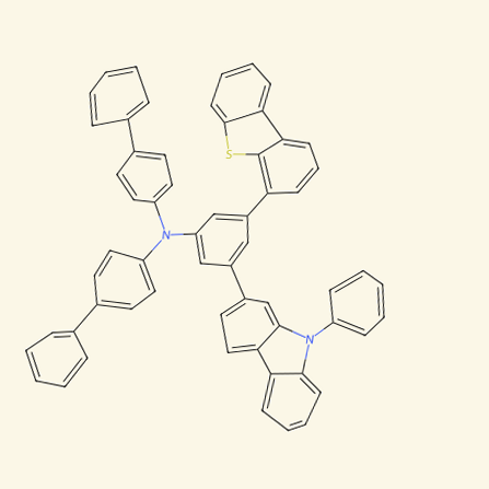 c1ccc(-c2ccc(N(c3ccc(-c4ccccc4)cc3)c3cc(-c4ccc5c6ccccc6n(-c6ccccc6)c5c4)cc(-c4cccc5c4sc4ccccc45)c3)cc2)cc1